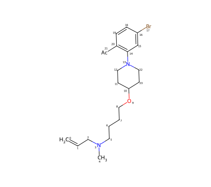 C=CCN(C)CCCCOC1CCN(c2cc(Br)ccc2C(C)=O)CC1